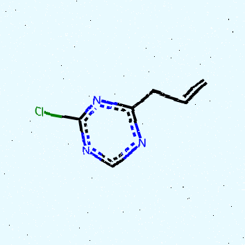 C=CCc1ncnc(Cl)n1